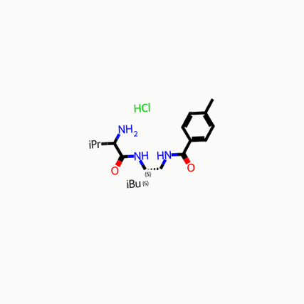 CC[C@H](C)[C@@H](CNC(=O)c1ccc(C)cc1)NC(=O)C(N)C(C)C.Cl